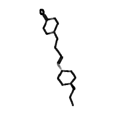 CCC[C@H]1CC[C@H](/C=C/CCC2CCC(=O)CC2)CC1